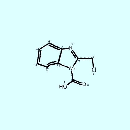 O=C(O)n1c(CCl)nc2ccccc21